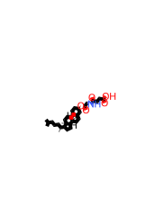 CC(C)CCC[C@@H](C)C1CC[C@H]2[C@]3(C)CC=C4C[C@@H](OC(=O)CNC(=O)CCC(=O)O)CC[C@]4(C)[C@H]3CC[C@]12C